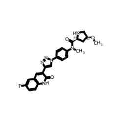 CO[C@@H]1CN[C@H](C(=O)N(C)c2ccc(-n3cc(-c4cc5cc(F)ccc5[nH]c4=O)nn3)cc2)C1